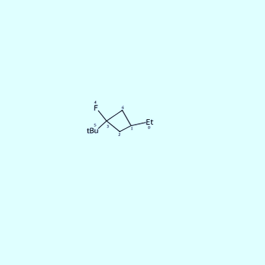 CCC1CC(F)(C(C)(C)C)C1